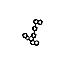 c1ccc2c(-c3ccc(-c4ccc5c6c(ccc7cccnc76)c6nc7ccccc7n6c5c4)cc3)cccc2c1